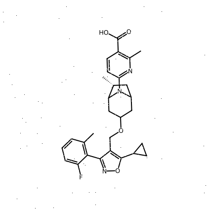 Cc1cccc(F)c1-c1noc(C2CC2)c1COC1CC2C[C@@H](C)C(C1)N2c1ccc(C(=O)O)c(C)n1